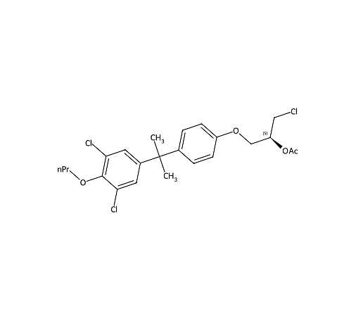 [CH2][CH]COc1c(Cl)cc(C(C)(C)c2ccc(OC[C@@H](CCl)OC(C)=O)cc2)cc1Cl